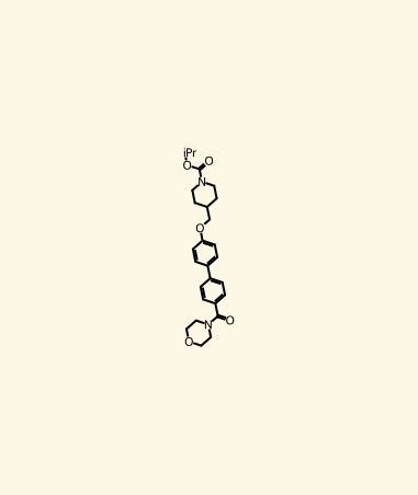 CC(C)OC(=O)N1CCC(COc2ccc(-c3ccc(C(=O)N4CCOCC4)cc3)cc2)CC1